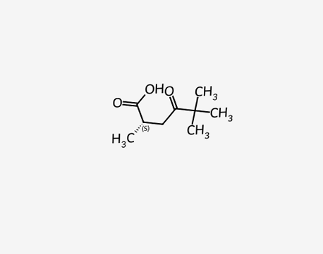 C[C@@H](CC(=O)C(C)(C)C)C(=O)O